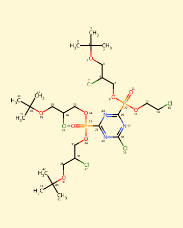 CC(C)(C)OCC(Cl)COP(=O)(OCCCl)c1nc(Cl)nc(P(=O)(OCC(Cl)COC(C)(C)C)OCC(Cl)COC(C)(C)C)n1